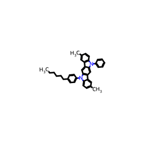 CCCCCCc1ccc(-n2c3ccc(C)cc3c3cc4c(cc32)c2cc(C)ccc2n4-c2ccccc2)cc1